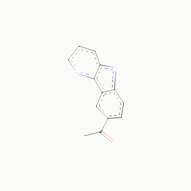 CC(=O)c1ccc2[nH]c3cccnc3c2c1